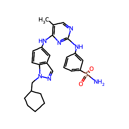 Cc1cnc(Nc2cccc(S(N)(=O)=O)c2)nc1Nc1ccc2c(cnn2CC2CCCCC2)c1